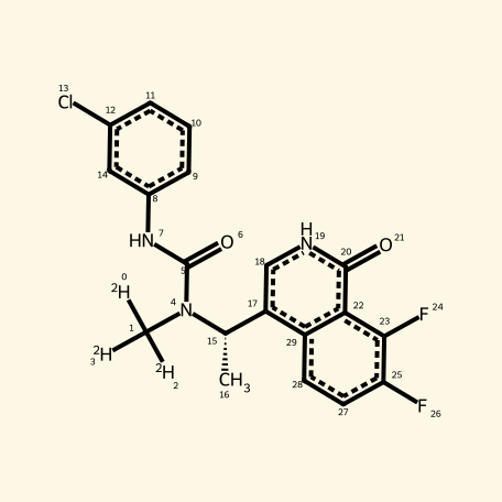 [2H]C([2H])([2H])N(C(=O)Nc1cccc(Cl)c1)[C@@H](C)c1c[nH]c(=O)c2c(F)c(F)ccc12